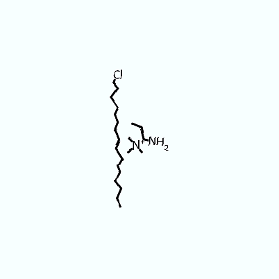 CCC(N)[N+](C)(C)C.CCCCCCCCCCCCCCCCCl